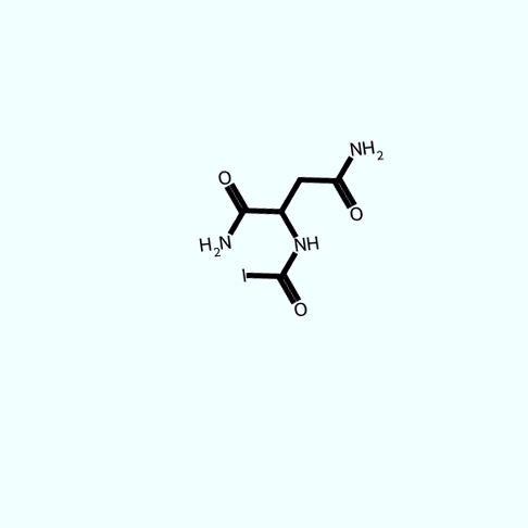 NC(=O)CC(NC(=O)I)C(N)=O